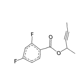 CC#CC(C)OC(=O)c1ccc(F)cc1F